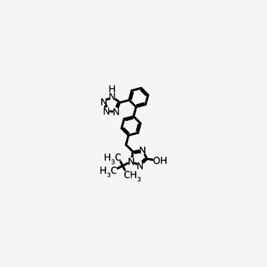 CC(C)(C)n1nc(O)nc1Cc1ccc(-c2ccccc2-c2nnn[nH]2)cc1